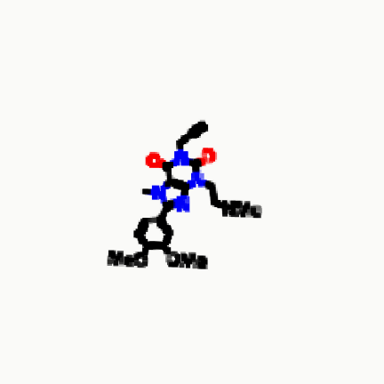 C#CCn1c(=O)c2c(nc(-c3ccc(OC)c(OC)c3)n2C)n(CCNC)c1=O